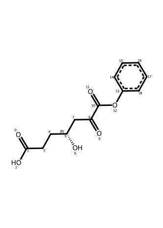 O=C(O)CC[C@@H](O)CC(=O)C(=O)Oc1ccccc1